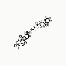 O=C1CCC(N2C(=O)c3ccc(NCCCCCC(=O)N4CCC(O)(c5ccccc5)CC4)cc3C2=O)C(=O)N1